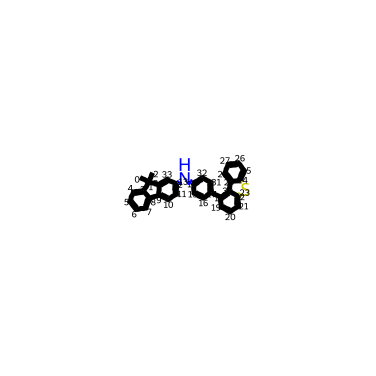 CC1(C)c2ccccc2-c2ccc(Nc3ccc(-c4cccc5sc6ccccc6c45)cc3)cc21